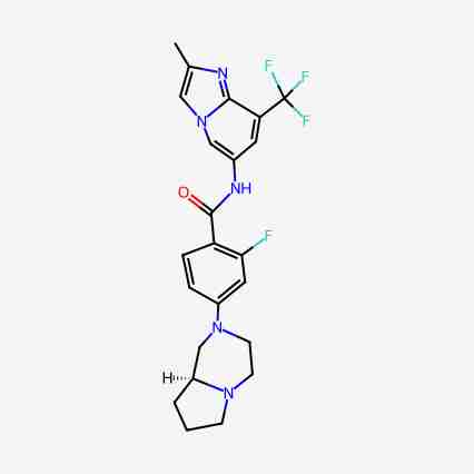 Cc1cn2cc(NC(=O)c3ccc(N4CCN5CCC[C@H]5C4)cc3F)cc(C(F)(F)F)c2n1